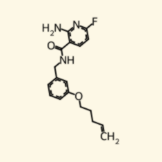 C=CCCCOc1cccc(CNC(=O)c2ccc(F)nc2N)c1